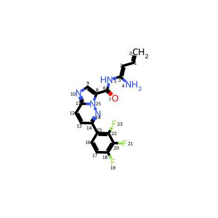 C=C/C=C(\N)NC(=O)c1cnc2ccc(-c3ccc(F)c(F)c3F)nn12